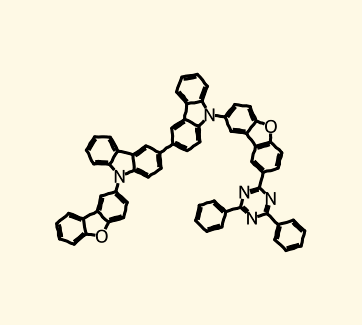 c1ccc(-c2nc(-c3ccccc3)nc(-c3ccc4oc5ccc(-n6c7ccccc7c7cc(-c8ccc9c(c8)c8ccccc8n9-c8ccc9oc%10ccccc%10c9c8)ccc76)cc5c4c3)n2)cc1